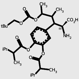 CC(C)C(C)C(=O)Oc1ccc(C(C(C)C(C)OC(=O)OCC(C)(C)C)[C@H](N)C(=O)O)cc1OC(=O)C(C)C(C)C